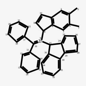 Cc1cc2c(cc1C)[CH]([Zr](=[C](c1ccccc1)c1ccccc1)[CH]1c3ccccc3-c3ccccc31)C=C2